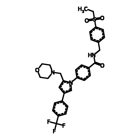 CCS(=O)(=O)c1ccc(CNC(=O)c2ccc(-n3cc(-c4ccc(C(F)(F)F)cc4)cc3CN3CCOCC3)cc2)cc1